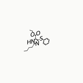 CCCCc1nc(Sc2ccccc2)c(C(=O)OCC)[nH]1